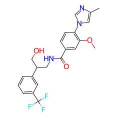 COc1cc(C(=O)NCC(CO)c2cccc(C(F)(F)F)c2)ccc1-n1cnc(C)c1